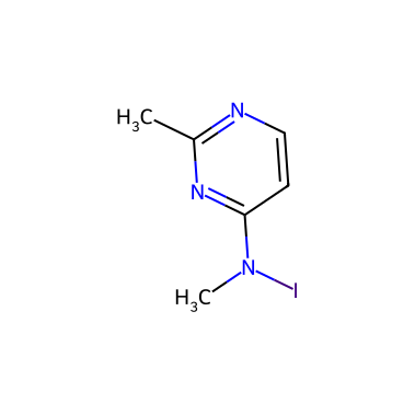 Cc1nccc(N(C)I)n1